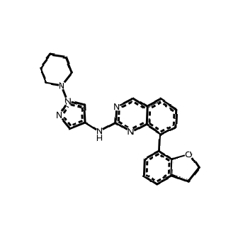 c1cc2c(c(-c3cccc4cnc(Nc5cnn(N6CCCCC6)c5)nc34)c1)OCC2